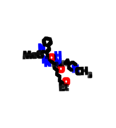 CCC(=O)CCCCC[C@H](NC(=O)[C@@H]1CC12CCN(C)CC2)c1nnc(-c2cc3ccccc3nc2OC)o1